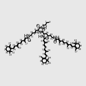 CCCCNC(=O)C(CCCCNC(=O)/C=C(C)/C=C/C=C(C)/C=C/C1=C(C)CCCC1(C)C)NC(=O)C(CCCCNC(=O)/C=C(C)/C=C/C=C(C)/C=C/C1=C(C)CCCC1(C)C)NC(=O)/C=C(C)/C=C/C=C(C)/C=C/C1=C(C)CCCC1(C)C